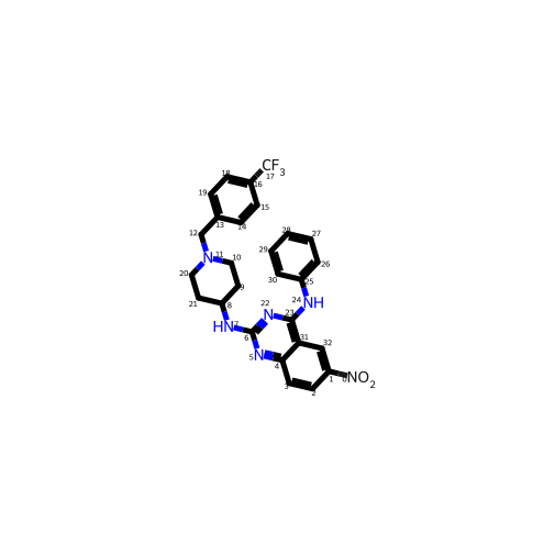 O=[N+]([O-])c1ccc2nc(NC3CCN(Cc4ccc(C(F)(F)F)cc4)CC3)nc(Nc3ccccc3)c2c1